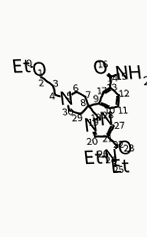 CCOCCCN1CCC(c2cccc(C(N)=O)c2)(c2ncc(C(=O)N(CC)CC)cn2)CC1